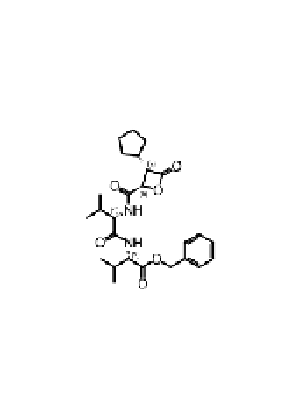 CC(C)[C@H](NC(=O)[C@@H]1OC(=O)[C@H]1C1CCCC1)C(=O)N[C@H](C(=O)OCc1ccccc1)C(C)C